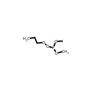 CCCOOP(OC)OI